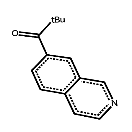 CC(C)(C)C(=O)c1ccc2ccncc2c1